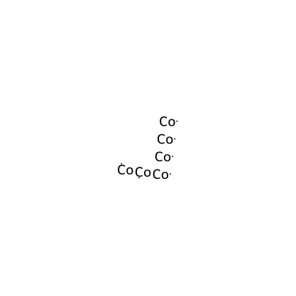 [Co].[Co].[Co].[Co].[Co].[Co]